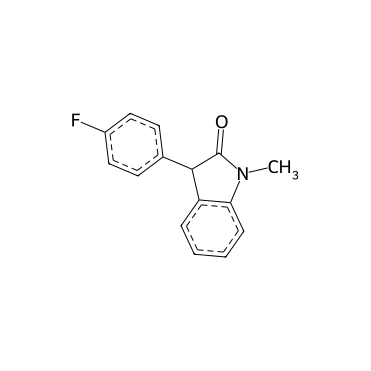 CN1C(=O)C(c2ccc(F)cc2)c2ccccc21